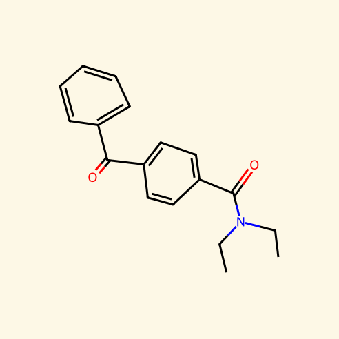 CCN(CC)C(=O)c1ccc(C(=O)c2ccccc2)cc1